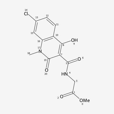 COC(=O)CNC(=O)c1c(O)c2ccc(Cl)cc2n(C)c1=O